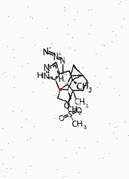 C=C1CC[C@H]2[C@@]3(CN=[N+]=[N-])C[C@]3([C@@]3(C)Cc4cn[nH]c4C[C@@H]3COS(C)(=O)=O)CC[C@]12C